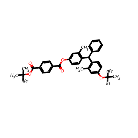 CCCC(C)(C)OC(=O)c1ccc(C(=O)Oc2ccc(C(c3ccccc3)c3ccc(OC(C)(CC)CCC)cc3C)c(C)c2)cc1